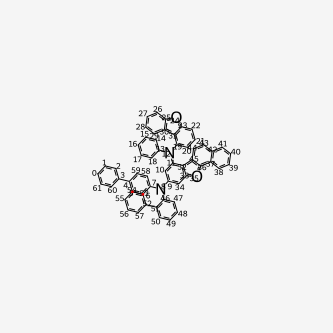 c1ccc(-c2ccc(N(c3cc(N(c4ccccc4)c4cccc5oc6ccccc6c45)c4c(c3)oc3c5ccccc5ccc34)c3ccccc3-c3ccccc3)cc2)cc1